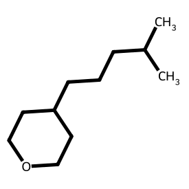 CC(C)CCCC1CCOCC1